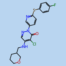 O=c1c(Cl)c(NCC2CCCOC2)cnn1-c1ccc(Sc2ccc(F)cc2)nc1